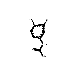 CCCC(=O)Nc1ccc(N)c(Cl)c1